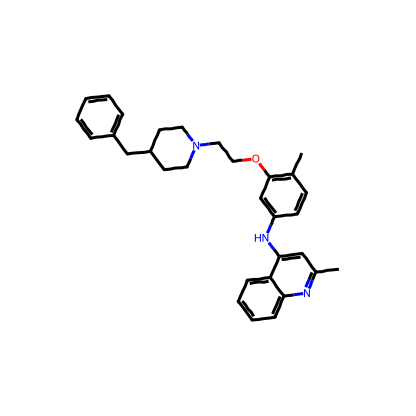 Cc1cc(Nc2ccc(C)c(OCCN3CCC(Cc4ccccc4)CC3)c2)c2ccccc2n1